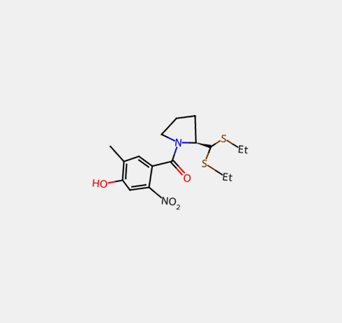 CCSC(SCC)[C@@H]1CCCN1C(=O)c1cc(C)c(O)cc1[N+](=O)[O-]